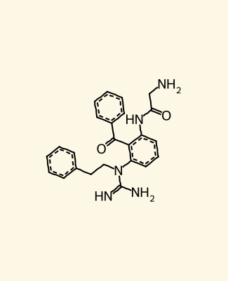 N=C(N)N(CCc1ccccc1)c1cccc(NC(=O)CN)c1C(=O)c1ccccc1